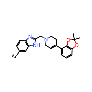 CC(=O)c1ccc2nc(CN3CC=C(c4cccc5c4OC(C)(C)O5)CC3)[nH]c2c1